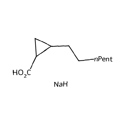 CCCCCCCC1CC1C(=O)O.[NaH]